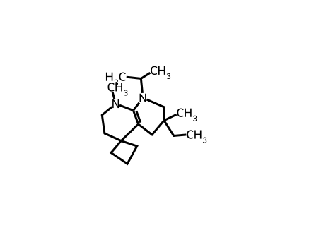 CCC1(C)CC2=C(N(C)CCC23CCC3)N(C(C)C)C1